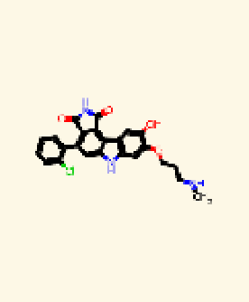 CNCCCOc1cc2[nH]c3cc(-c4ccccc4Cl)c4c(c3c2cc1O)C(=O)NC4=O